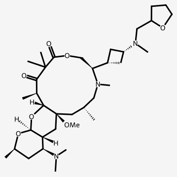 CO[C@]12C[C@@H](C)CN(C)[C@H]([C@H]3C[C@@H](N(C)CC4CCCO4)C3)COC(=O)C(C)(C)C(=O)[C@H](C)[C@H]1O[C@@H]1O[C@H](C)C[C@H](N(C)C)[C@H]1C2